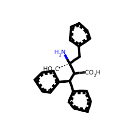 N[C@](Cc1ccccc1)(C(=O)O)C(C(=O)O)C(c1ccccc1)c1ccccc1